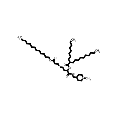 CCCCCCCCCCCCCOC(=O)CCSCCC(NC(=O)C(CCCCCCCC)CCCCCCCCCC)C(=O)NCC1CCN(C)CC1